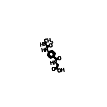 CNC(=O)Nc1ccc(C(=O)NCC(=O)O)cc1